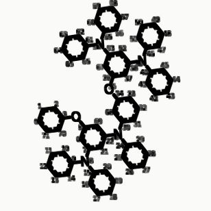 c1ccc(Oc2cc(N(c3ccccc3)c3ccccc3)cc(N(c3ccccc3)c3cccc(Oc4cc(N(c5ccccc5)c5ccccc5)cc(N(c5ccccc5)c5ccccc5)c4)c3)c2)cc1